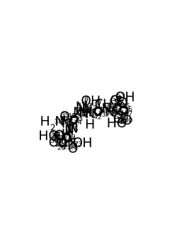 Cc1cc(Nc2nc(O)nc(Nc3ccc(/N=N/c4cc(S(=O)O)c5cccc(S(=O)(=O)O)c5c4)c(NC(N)=O)c3)n2)ccc1/N=N/c1cc(S(=O)(=O)O)c2cccc(S(=O)(=O)O)c2c1